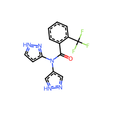 O=C(c1ccccc1C(F)(F)F)N(c1cn[nH]c1)c1cc[nH]n1